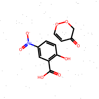 O=C(O)c1cc([N+](=O)[O-])ccc1O.O=C1C=COOC1